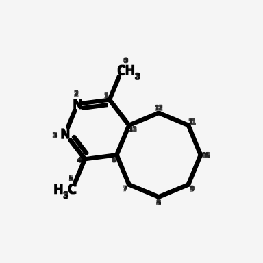 CC1=NN=C(C)C2CCCCCCC12